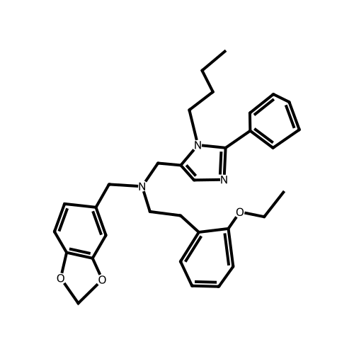 CCCCn1c(CN(CCc2ccccc2OCC)Cc2ccc3c(c2)OCO3)cnc1-c1ccccc1